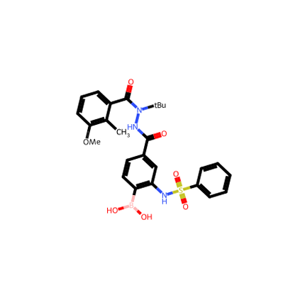 COc1cccc(C(=O)N(NC(=O)c2ccc(B(O)O)c(NS(=O)(=O)c3ccccc3)c2)C(C)(C)C)c1C